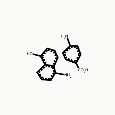 Nc1ccc(C(=O)O)cc1.Nc1cccc2c(O)cccc12